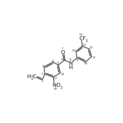 C=Cc1ccc(C(=O)Nc2cccc(C(F)(F)F)c2)cc1[N+](=O)[O-]